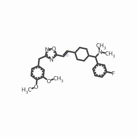 COc1ccc(Cc2noc(/C=C/C3CCC(C(c4cccc(F)c4)N(C)C)CC3)n2)cc1OC